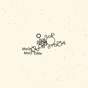 CC[C@H]1CCC[C@H](O[C@H]2CC[C@H](N(C)C)[C@@H](C)O2)[C@@H](C)C(=O)C2=C[C@H]3[C@@H]4C[C@H](O[C@@H]5O[C@@H](C)[C@H](OC)[C@@H](OC)[C@H]5OC)C[C@H]4[C@H]4[C@@H]([C@H]3[C@@H]2CC(=O)O1)N4c1ccccc1